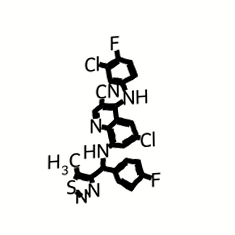 Cc1snnc1C(Nc1cc(Cl)cc2c(Nc3ccc(F)c(Cl)c3)c(C#N)cnc12)c1ccc(F)cc1